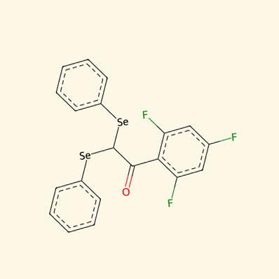 O=C(c1c(F)cc(F)cc1F)C([Se]c1ccccc1)[Se]c1ccccc1